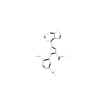 CCc1ccc(C(F)(F)F)cc1-c1[nH]c(-c2ncnc3[nH]ccc23)cc1C(=O)NC